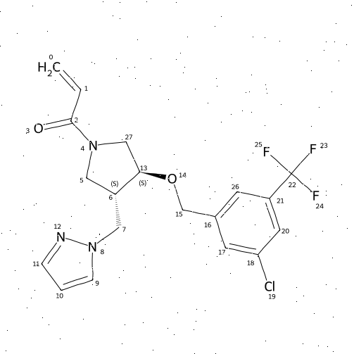 C=CC(=O)N1C[C@@H](Cn2cccn2)[C@H](OCc2cc(Cl)cc(C(F)(F)F)c2)C1